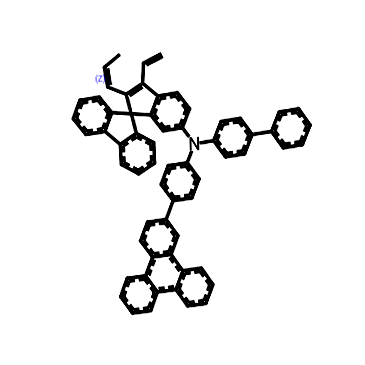 C=CC1=C(/C=C\C)C2(c3cc(N(c4ccc(-c5ccccc5)cc4)c4ccc(-c5ccc6c7ccccc7c7ccccc7c6c5)cc4)ccc31)c1ccccc1-c1ccccc12